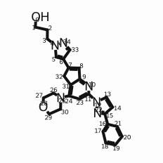 OCCCn1cc(C2=Cc3nc(-n4ccc(-c5ccccc5)n4)cc(N4CCOCC4)c3C2)cn1